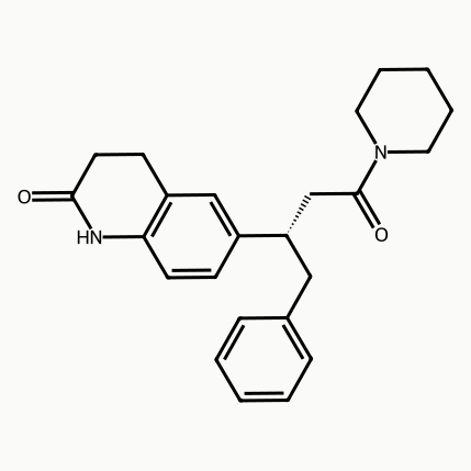 O=C1CCc2cc([C@H](CC(=O)N3CCCCC3)Cc3ccccc3)ccc2N1